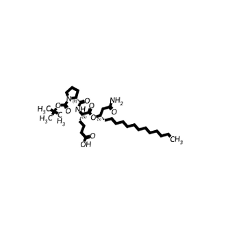 CCCCCCCCCCCCC[C@@H](CC(N)=O)OC(=O)[C@H](CCCC(=O)O)NC(=O)[C@H]1CCCN1C(=O)OC(C)(C)C